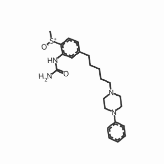 C[S+]([O-])c1ccc(CCCCCN2CCN(c3ccccc3)CC2)cc1NC(N)=O